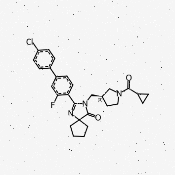 O=C(C1CC1)N1CC[C@@H](CN2C(=O)C3(CCCC3)N=C2c2ccc(-c3ccc(Cl)cc3)cc2F)C1